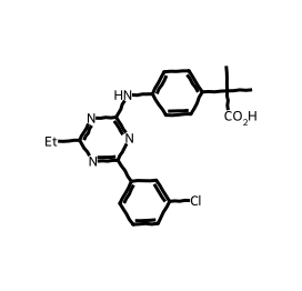 CCc1nc(Nc2ccc(C(C)(C)C(=O)O)cc2)nc(-c2cccc(Cl)c2)n1